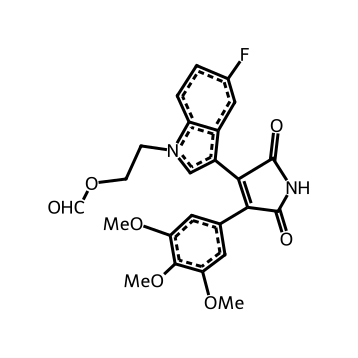 COc1cc(C2=C(c3cn(CCOC=O)c4ccc(F)cc34)C(=O)NC2=O)cc(OC)c1OC